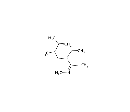 C=C(C)C(C)CC(CC)/C(C)=N\C